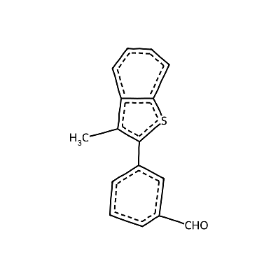 Cc1c(-c2cccc(C=O)c2)sc2ccccc12